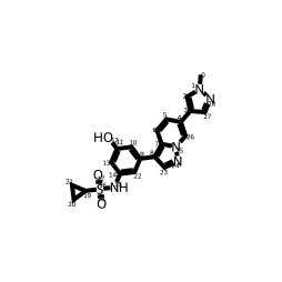 Cn1cc(-c2ccc3c(-c4cc(O)cc(NS(=O)(=O)C5CC5)c4)cnn3c2)cn1